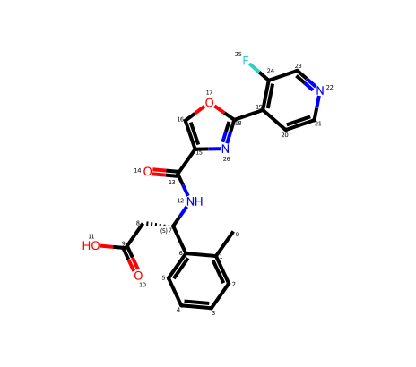 Cc1ccccc1[C@H](CC(=O)O)NC(=O)c1coc(-c2ccncc2F)n1